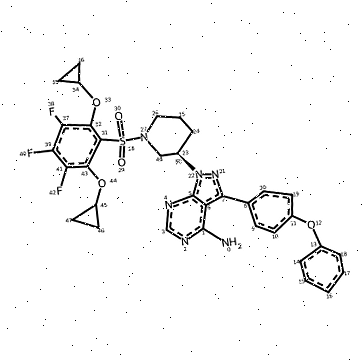 Nc1ncnc2c1c(-c1ccc(Oc3ccccc3)cc1)nn2[C@@H]1CCCN(S(=O)(=O)c2c(OC3CC3)c(F)c(F)c(F)c2OC2CC2)C1